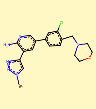 CC(C)n1cc(-c2cc(-c3ccc(CN4CCOCC4)c(Cl)c3)cnc2N)nn1